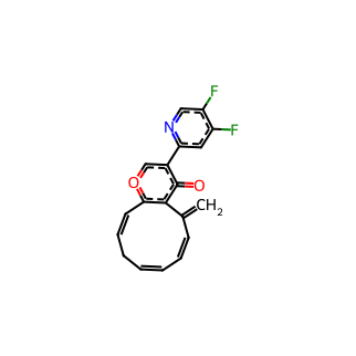 C=C1/C=C\C=C/C/C=C\c2occ(-c3cc(F)c(F)cn3)c(=O)c21